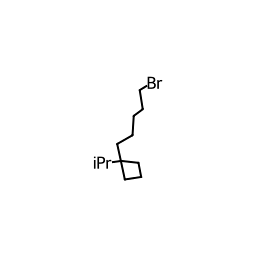 CC(C)C1(CCCCCBr)CCC1